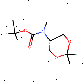 CN(C(=O)OC(C)(C)C)C1COC(C)(C)OC1